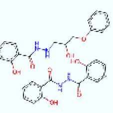 O=C(NNC(=O)c1ccccc1O)c1ccccc1O.O=C(NNCC(O)COc1ccccc1)c1ccccc1O